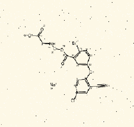 N#Cc1cc(Cl)ccc1Oc1ccc(Br)c(C(=O)OONCC(=O)[O-])c1.[Na+]